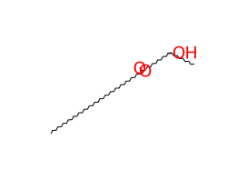 CCCCCCCCCCCCCCCCCCCCCCCCCCCCCCCCCCCC(=O)OCCCCCCCC/C=C\C[C@H](O)CCCCCC